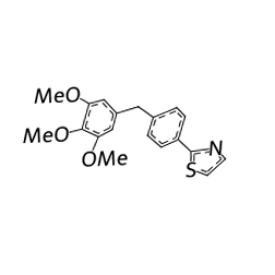 COc1cc(Cc2ccc(-c3nccs3)cc2)cc(OC)c1OC